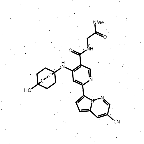 CNC(=O)CNC(=O)c1cnc(-c2ccc3cc(C#N)cnn23)cc1NC12CCC(O)(CC1)CC2